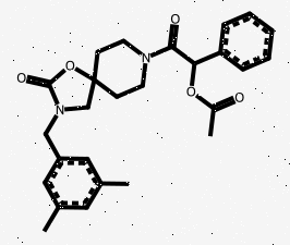 CC(=O)OC(C(=O)N1CCC2(CC1)CN(Cc1cc(C)cc(C)c1)C(=O)O2)c1ccccc1